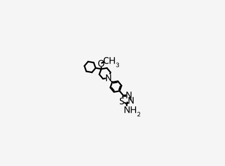 COC1(C2CCCCC2)CCN(c2ccc(-c3nnc(N)s3)cc2)CC1